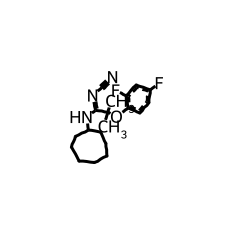 CC(C)(Oc1ccc(F)cc1F)/C(=N\C#N)NC1CCCCCCC1